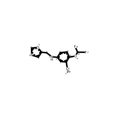 CC(C)Oc1cc(NCc2cnco2)ccc1OC(F)F